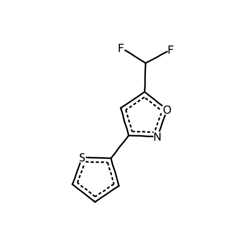 FC(F)c1cc(-c2cccs2)no1